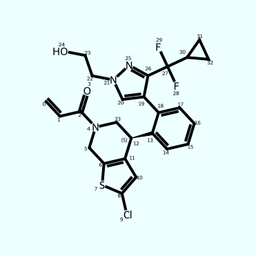 C=CC(=O)N1Cc2sc(Cl)cc2[C@H](c2ccccc2-c2cn(CCO)nc2C(F)(F)C2CC2)C1